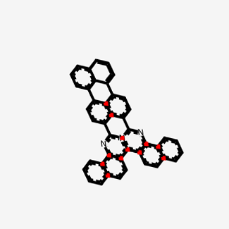 C1=C=C(c2ccc(-c3nc(-c4ccccc4)cc(-c4ccccc4)n3)cc2)c2c(cccc2-c2ccc(-c3nc(-c4ccccc4)cc(-c4ccccc4)n3)cc2)C=1